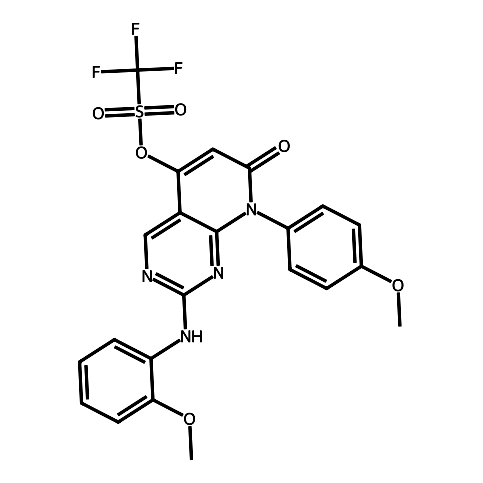 COc1ccc(-n2c(=O)cc(OS(=O)(=O)C(F)(F)F)c3cnc(Nc4ccccc4OC)nc32)cc1